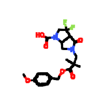 COc1ccc(COC(=O)C(C)(C)CN2CC3C(C2=O)C(F)(F)CN3C(=O)O)cc1